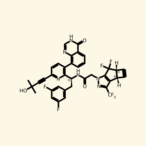 CC(C)(O)C#Cc1ccc(-c2cccc3c(=O)[nH]cnc23)c([C@H](Cc2cc(F)cc(F)c2)NC(=O)Cn2nc(C(F)(F)F)c3c2C(F)(F)[C@@H]2C#C[C@H]32)n1